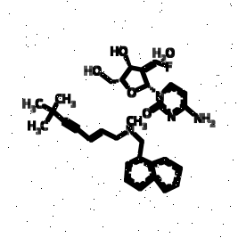 CN(C/C=C/C#CC(C)(C)C)Cc1cccc2ccccc12.Nc1ccn([C@@H]2O[C@H](CO)[C@@H](O)/C2=C/F)c(=O)n1.O